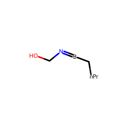 CCCC/B=N/CO